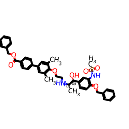 Cc1cc(-c2ccc(C(=O)OCc3ccccc3)cc2)cc(C)c1OCCN[C@@H](C)[C@@H](O)c1ccc(OCc2ccccc2)c(NS(C)(=O)=O)c1